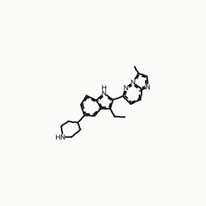 CCc1c(-c2ccc3ncc(C)n3n2)[nH]c2ccc(C3CCNCC3)cc12